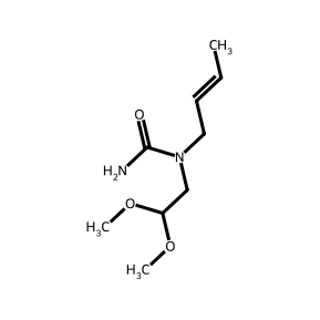 CC=CCN(CC(OC)OC)C(N)=O